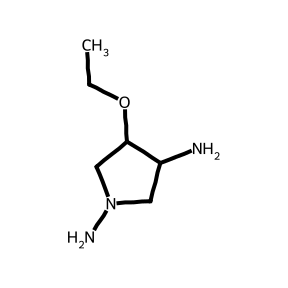 CCOC1CN(N)CC1N